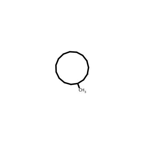 CC1C[CH]CCCCCCCCCCCC1